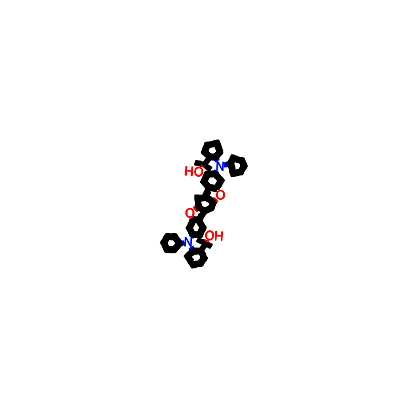 CC(C)(O)c1ccccc1N(c1ccccc1)c1ccc2c(c1)oc1cc3c(cc12)oc1cc(N(c2ccccc2)c2ccccc2C(C)(C)O)ccc13